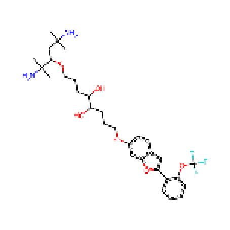 CC(C)(N)CC(OCCCC(O)C(O)CCCOc1ccc2cc(-c3ccccc3OC(F)(F)F)oc2c1)C(C)(C)N